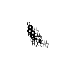 CC1C[C@H]2[C@@H]3CCC4=CC(=O)C=C[C@]4(C)[C@]34OC4C[C@]2(C)[C@@]1(O)C(=O)COC(=O)C(C)(C)C